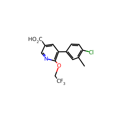 Cc1cc(-c2cc(C(=O)O)cnc2OCC(F)(F)F)ccc1Cl